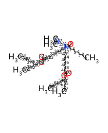 CCCCCCCCC(=O)N(CCCN(C)C)C(CCCCCCCCC(=O)OCCC(CCCC)CCCCCC)CCCCCCCCC(=O)OCC(CCCC)CCCCCC